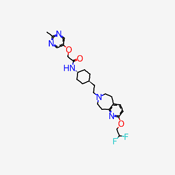 Cc1ncc(OCC(=O)N[C@H]2CC[C@H](CCN3CCc4ccc(OCC(F)F)nc4CC3)CC2)cn1